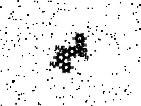 COc1ccc(N(C)S(=O)(=O)Cc2ccccc2)cc1C[C@@H]1CCCN(N)[C@@H]1c1ccccc1